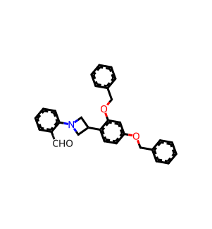 O=Cc1ccccc1N1CC(c2ccc(OCc3ccccc3)cc2OCc2ccccc2)C1